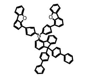 c1ccc(-c2ccc(C3(c4ccc(-c5ccccc5)cc4)c4ccccc4-c4c(N(c5ccc(-c6cccc7c6oc6ccccc67)cc5)c5ccc(-c6cccc7c6oc6ccccc67)cc5)cccc43)cc2)cc1